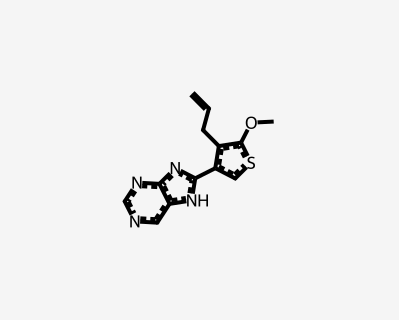 C=CCc1c(-c2nc3ncncc3[nH]2)csc1OC